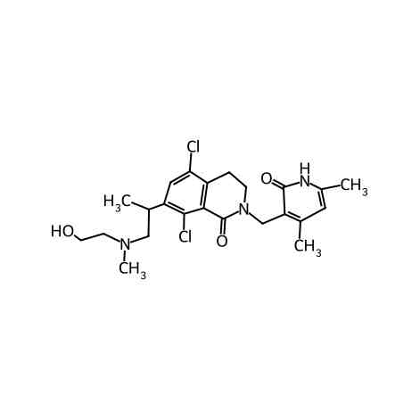 Cc1cc(C)c(CN2CCc3c(Cl)cc(C(C)CN(C)CCO)c(Cl)c3C2=O)c(=O)[nH]1